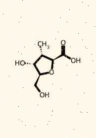 C[C@H]1[C@@H](O)[C@H](CO)O[C@@H]1C(=O)O